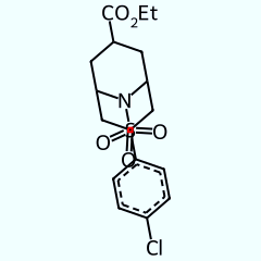 CCOC(=O)C1CC2CC(=O)CC(C1)N2S(=O)(=O)c1ccc(Cl)cc1